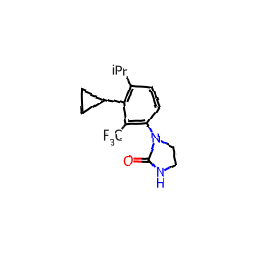 CC(C)c1ccc(N2CCNC2=O)c(C(F)(F)F)c1C1CC1